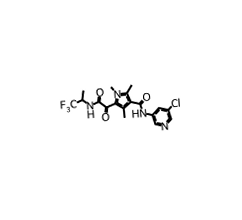 Cc1c(C(=O)Nc2cncc(Cl)c2)c(C)n(C)c1C(=O)C(=O)NC(C)C(F)(F)F